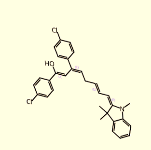 CN1/C(=C/C=C/C/C=C(\C=C(/O)c2ccc(Cl)cc2)c2ccc(Cl)cc2)C(C)(C)c2ccccc21